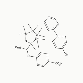 CCCCCC(Oc1ccc(C(=O)O)cc1)C1(C)O[Si](C)(C)[Si](C)(C)[Si](C)(C)[Si]1(C)C.N#Cc1ccc(-c2ccccc2)cc1